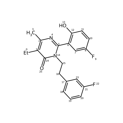 CCc1c(C)nc(-c2cc(F)ccc2O)n(CCc2cccc(F)c2)c1=O